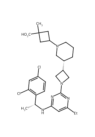 CCc1cc(N[C@H](C)c2ccc(Cl)cc2Cl)nc(N2CC([C@H]3CCCN(C4CC(C)(C(=O)O)C4)C3)C2)n1